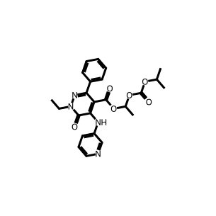 CCn1nc(-c2ccccc2)c(C(=O)OC(C)OC(=O)OC(C)C)c(Nc2cccnc2)c1=O